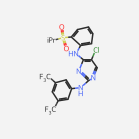 CC(C)S(=O)(=O)c1ccccc1Nc1nc(Nc2cc(C(F)(F)F)cc(C(F)(F)F)c2)ncc1Cl